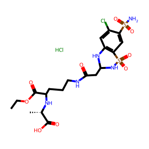 CCOC(=O)C(CCCNC(=O)CC1Nc2cc(Cl)c(S(N)(=O)=O)cc2S(=O)(=O)N1)N[C@@H](C)C(=O)O.Cl